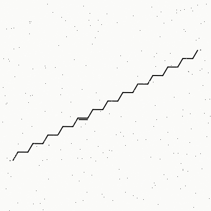 [CH2]CCCCCCCCC=CCCCCCCCCCCCCCC[CH2]